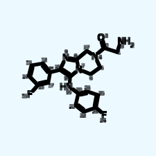 NCC(=O)N1CCn2c(nc(-c3cccc(F)c3)c2Nc2ccc(F)cc2)C1